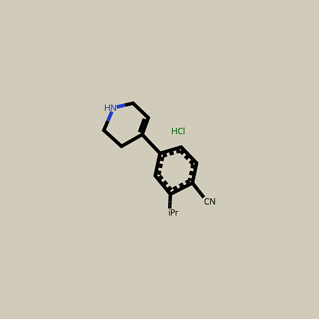 CC(C)c1cc(C2=CCNCC2)ccc1C#N.Cl